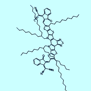 [C-]#[N+]/C(C#N)=C1\C(=C\c2sc3c(sc4c5c6nsnc6c6c7sc8c(CCCCCCCCCCC)c(/C=C9\C(=O)c%10ccccc%10C9=C(C#N)C#N)sc8c7n(CC(CCCCCCCC)CCCCCCCCCC)c6c5n(CC(CCCCCCCC)CCCCCCCCCC)c34)c2CCCCCCCCCCC)C(=O)c2ccccc21